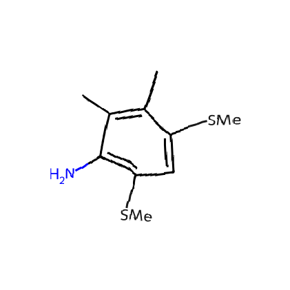 CSc1cc(SC)c(N)c(C)c1C